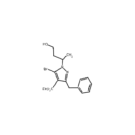 CCOC(=O)c1c(Cc2ccccc2)nn(C(C)CCO)c1Br